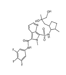 CC1CCC(CC(C)(O)CO)C1NS(=O)(=O)c1c2ncccc2c(C(=O)Nc2cc(F)c(F)c(F)c2)n1C